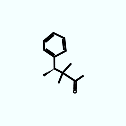 CC(=O)C(C)(C)[C@H](C)c1ccccc1